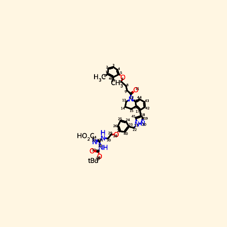 Cc1cccc(OCCCC(=O)N2CCCc3c(-c4cnn(Cc5cccc(OCCN/C(=N\C(=O)O)NC(=O)OC(C)(C)C)c5)c4)cccc32)c1C